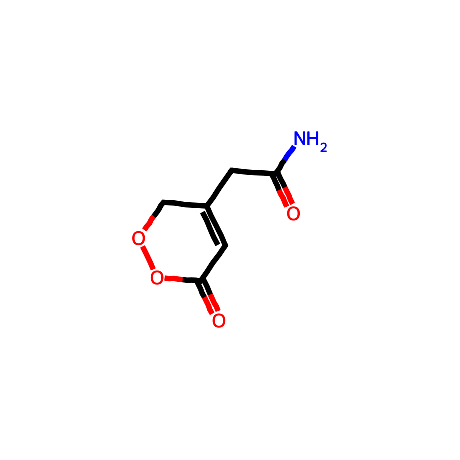 NC(=O)CC1=CC(=O)OOC1